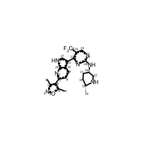 Cc1noc(C)c1-c1ccc2c(-c3nc(N[C@@H]4CC[C@@H](C)NC4)ncc3C(F)(F)F)c[nH]c2n1